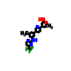 CCC(=CC(=O)O)c1ccc(-c2cc(C)cc(Nc3nccc(C(F)(F)F)n3)c2)cn1